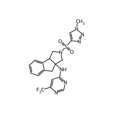 Cn1cc(S(=O)(=O)N2CC3c4ccccc4CC3(Nc3cc(C(F)(F)F)ncn3)C2)nn1